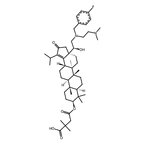 CC(C)C1=C2[C@H]3CC[C@@H]4[C@@]5(C)CC[C@H](OC(=O)CC(C)(C)C(=O)O)C(C)(C)[C@@H]5CC[C@@]4(C)[C@]3(C)CC[C@@]2([C@H](O)CN(CCN(C)C)Cc2ccc(F)cc2)CC1=O